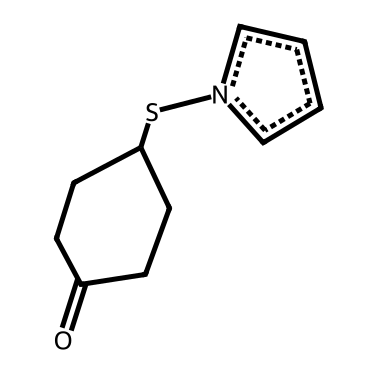 O=C1CCC(Sn2cccc2)CC1